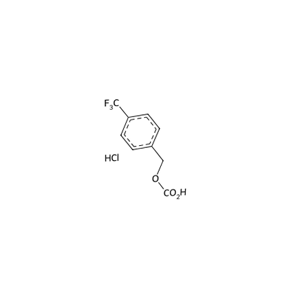 Cl.O=C(O)OCc1ccc(C(F)(F)F)cc1